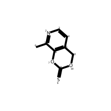 Cc1nccc2c1OC(=S)OC2